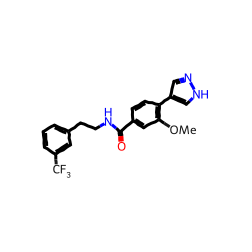 COc1cc(C(=O)NCCc2cccc(C(F)(F)F)c2)ccc1-c1cn[nH]c1